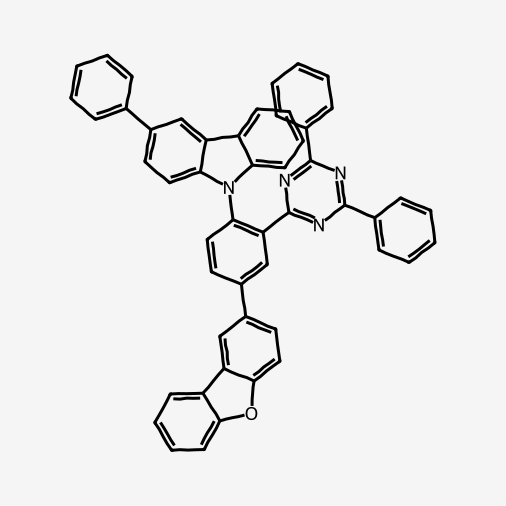 c1ccc(-c2ccc3c(c2)c2ccccc2n3-c2ccc(-c3ccc4oc5ccccc5c4c3)cc2-c2nc(-c3ccccc3)nc(-c3ccccc3)n2)cc1